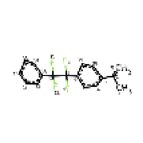 C=C(C)c1ccc(C(F)(F)C(F)(F)c2ccccc2)cc1